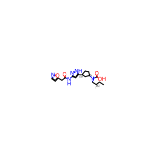 CC[C@H](C)CN(C(=O)O)[C@@H]1CC[C@H](c2cc(NC(=O)Cc3ccno3)n[nH]2)C1